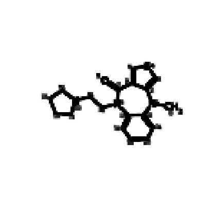 CN1c2cscc2C(=O)N(CCN2CCCC2)c2ccccc21